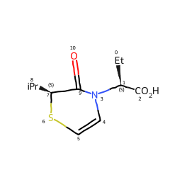 CC[C@@H](C(=O)O)N1C=CS[C@@H](C(C)C)C1=O